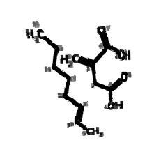 C=C(CC(=O)O)C(=O)O.CC=CCCCCC